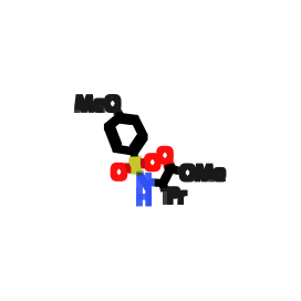 COC(=O)C(NS(=O)(=O)c1ccc(OC)cc1)C(C)C